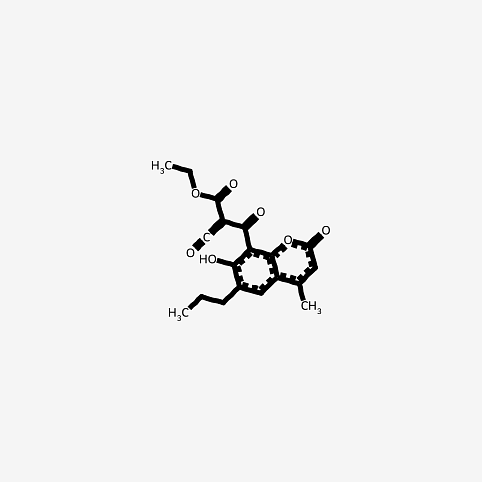 CCCc1cc2c(C)cc(=O)oc2c(C(=O)C(=C=O)C(=O)OCC)c1O